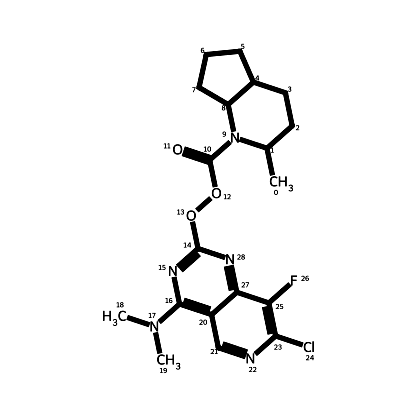 CC1CCC2CCCC2N1C(=O)OOc1nc(N(C)C)c2cnc(Cl)c(F)c2n1